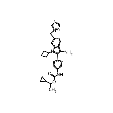 CC(OC(=O)Nc1ccc(-c2c(N)c3ccc(Cn4cncn4)cc3n2C2CCC2)cc1)C1CC1